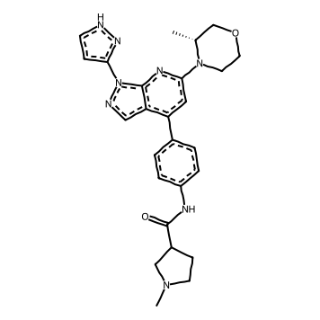 C[C@@H]1COCCN1c1cc(-c2ccc(NC(=O)C3CCN(C)C3)cc2)c2cnn(-c3cc[nH]n3)c2n1